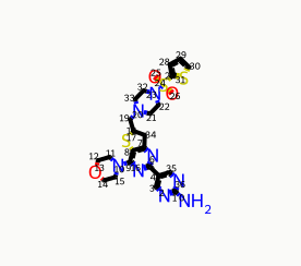 Nc1ncc(-c2nc3c(c(N4CCOCC4)n2)SC(CN2CCN(S(=O)(=O)c4cccs4)CC2)C3)cn1